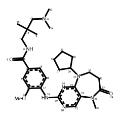 COc1cc(C(=O)NCC(C)(C)CN(C)C)ccc1Nc1ncc2c(n1)N(C1CCCC1)CCC(=O)N2C